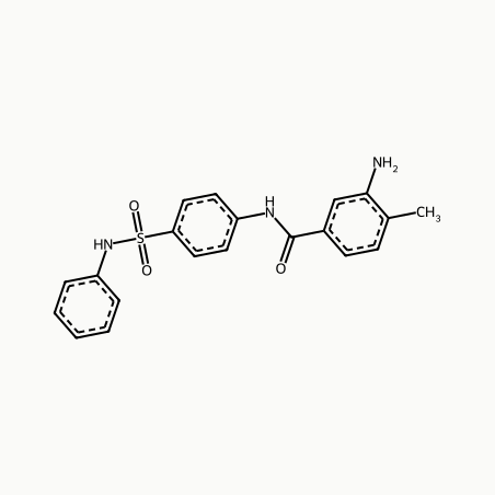 Cc1ccc(C(=O)Nc2ccc(S(=O)(=O)Nc3ccccc3)cc2)cc1N